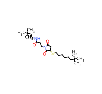 CC(C)(C)CCCCCCSC1CC(=O)N(CCC(=O)NCCC(C)(C)C)C1=O